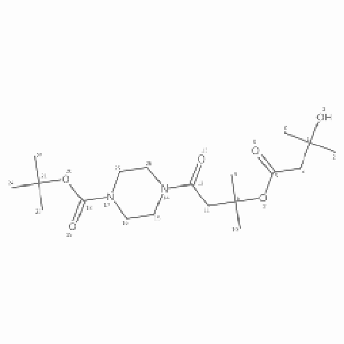 CC(C)(O)CC(=O)OC(C)(C)CC(=O)N1CCN(C(=O)OC(C)(C)C)CC1